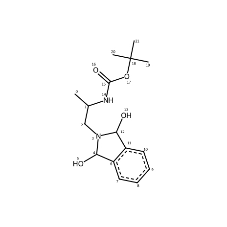 CC(CN1C(O)c2ccccc2C1O)NC(=O)OC(C)(C)C